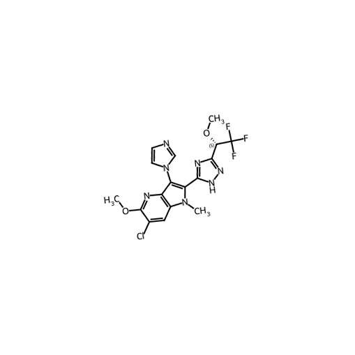 COc1nc2c(-n3ccnc3)c(-c3nc([C@H](OC)C(F)(F)F)n[nH]3)n(C)c2cc1Cl